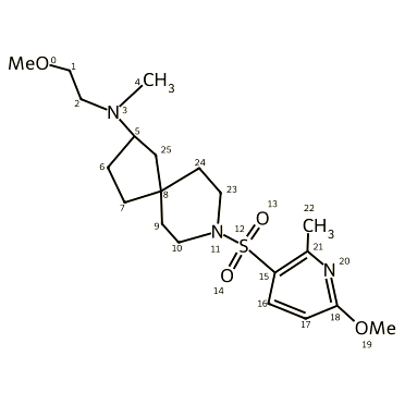 COCCN(C)C1CCC2(CCN(S(=O)(=O)c3ccc(OC)nc3C)CC2)C1